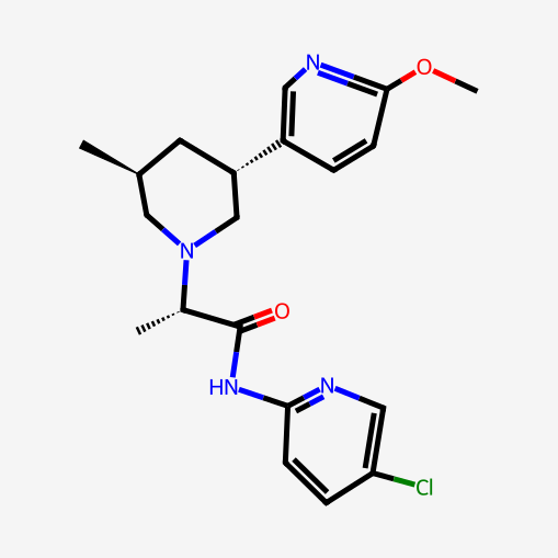 COc1ccc([C@H]2C[C@H](C)CN([C@@H](C)C(=O)Nc3ccc(Cl)cn3)C2)cn1